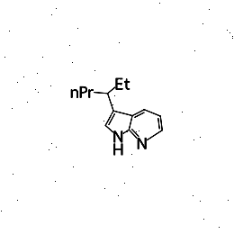 CCCC(CC)c1c[nH]c2ncccc12